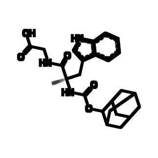 C[C@](Cc1c[nH]c2ccccc12)(NC(=O)OC1C2CC3CC(C2)CC1C3)C(=O)NCC(=O)O